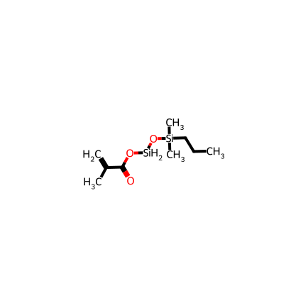 C=C(C)C(=O)O[SiH2]O[Si](C)(C)CCC